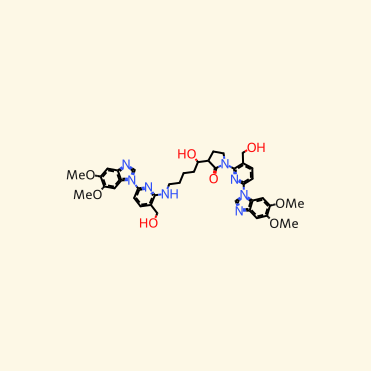 COc1cc2ncn(-c3ccc(CO)c(NCCCCC(O)C4CCN(c5nc(-n6cnc7cc(OC)c(OC)cc76)ccc5CO)C4=O)n3)c2cc1OC